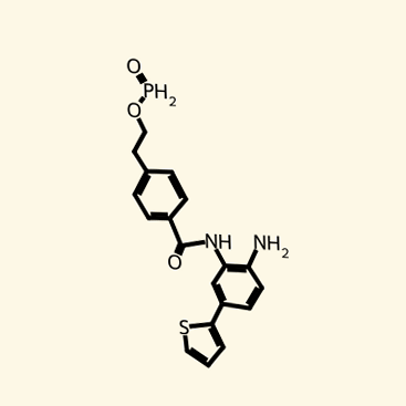 Nc1ccc(-c2cccs2)cc1NC(=O)c1ccc(CCO[PH2]=O)cc1